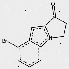 O=C1CCn2c1cc1c(Br)cccc12